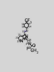 C=C(F)C(=O)N1CC(n2nc(/C=C/c3ccc(C(F)(F)F)cc3)c3cccnc32)C1